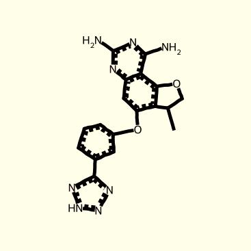 CC1COc2c1c(Oc1cccc(-c3nn[nH]n3)c1)cc1nc(N)nc(N)c21